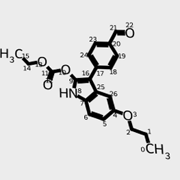 CCCOc1ccc2[nH]c(OC(=O)OCC)c(-c3ccc(C=O)cc3)c2c1